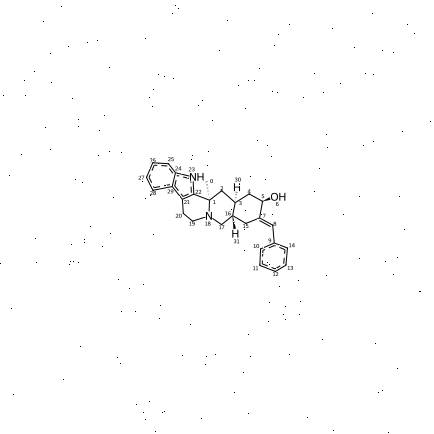 C[C@]12C[C@H]3C[C@@H](O)/C(=C/c4ccccc4)C[C@@H]3CN1CCc1c2[nH]c2ccccc12